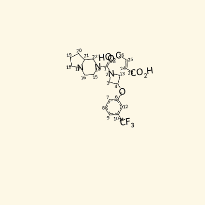 O=C(N1CC(Oc2cccc(C(F)(F)F)c2)C1)N1CCN2CCCC2C1.O=C(O)C=CC(=O)O